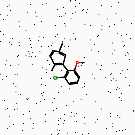 COc1cccc(Cl)c1-c1cc(C)ccc1C